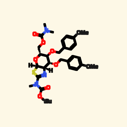 COc1ccc(CO[C@@H]2[C@H]3N=C(N(C)C(=O)OC(C)(C)C)S[C@H]3O[C@H](COC(=O)N(C)C)[C@H]2OCc2ccc(OC)cc2)cc1